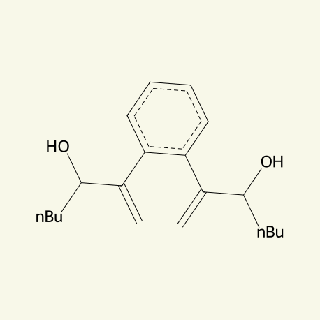 C=C(c1ccccc1C(=C)C(O)CCCC)C(O)CCCC